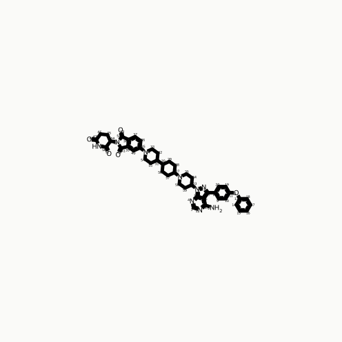 Nc1ncnc2c1c(-c1ccc(Oc3ccccc3)cc1)nn2C1CCN(C2CCC(C3CCN(c4ccc5c(c4)C(=O)N(C4CCC(=O)NC4=O)C5=O)CC3)CC2)CC1